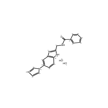 Cl.Cl.O=C(NCc1nc2cc(-n3ccnc3)ccc2[nH]1)c1ccccc1